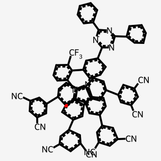 N#Cc1cc(C#N)cc(-c2ccc3c(c2)c2cc(-c4cc(C#N)cc(C#N)c4)ccc2n3-c2ccc(-c3nc(-c4ccccc4)nc(-c4ccccc4)n3)cc2-c2c(-n3c4ccc(-c5cc(C#N)cc(C#N)c5)cc4c4cc(-c5cc(C#N)cc(C#N)c5)ccc43)cccc2C(F)(F)F)c1